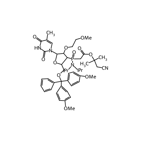 COCCOC1C(n2cc(C)c(=O)[nH]c2=O)OC(COC(c2ccccc2)(c2ccc(OC)cc2)c2ccc(OC)cc2)C1P(=O)(CC(=O)OC(C)(C)CC#N)N(C(C)C)C(C)C